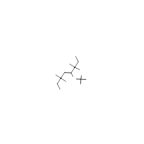 CCC(C)(C)CC(OC(F)(F)F)C(C)(C)CC